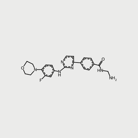 NCNC(=O)c1ccc(-c2ccnc(Nc3ccc(N4CCOCC4)c(F)c3)n2)cc1